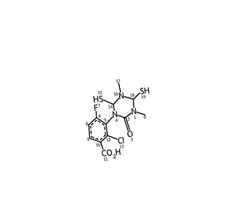 CN1C(=O)N(c2c(F)ccc(C(=O)O)c2Cl)C(S)N(C)C1S